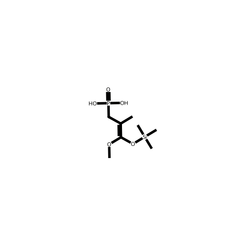 COC(O[Si](C)(C)C)=C(C)CP(=O)(O)O